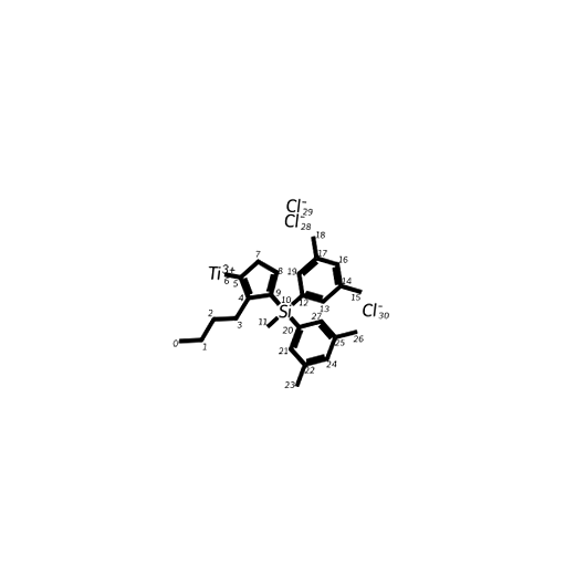 CCCCC1=[C]([Ti+3])CC=C1[Si](C)(c1cc(C)cc(C)c1)c1cc(C)cc(C)c1.[Cl-].[Cl-].[Cl-]